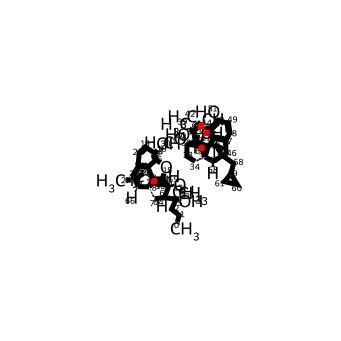 CCC[C@@](C)(O)[C@H]1C[C@@]23C=C[C@]1(OC)[C@@H]1Oc4c(O)ccc5c4[C@@]12CCN(C)[C@@H]3C5.CO[C@@]12CC[C@@]3(C[C@@H]1[C@](C)(O)C(C)(C)C)[C@H]1Cc4ccc(O)c5c4[C@@]3(CCN1CC1CC1)[C@H]2O5